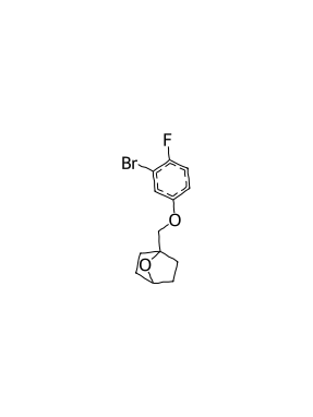 Fc1ccc(OCC23CCC(CC2)O3)cc1Br